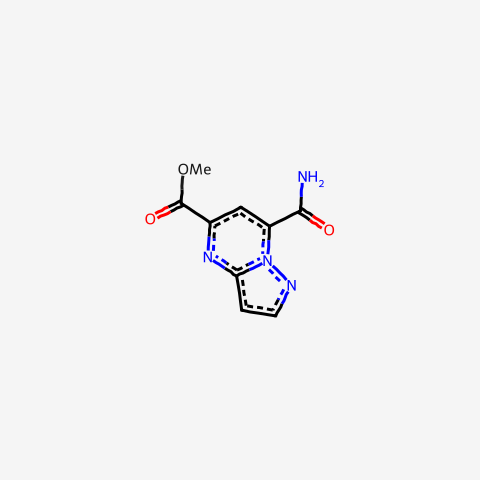 COC(=O)c1cc(C(N)=O)n2nccc2n1